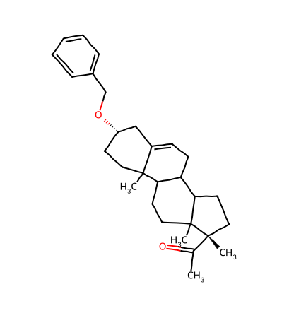 CC(=O)[C@@]1(C)CCC2C3CC=C4C[C@@H](OCc5ccccc5)CCC4(C)C3CCC21C